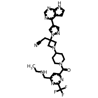 CCNCc1cc(C(=O)N2CCC(N3CC(CC#N)(n4cc(-c5ncnc6[nH]ccc56)cn4)C3)CC2)nc(C(F)(F)F)n1